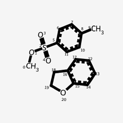 COS(=O)(=O)c1ccc(C)cc1.c1ccc2c(c1)CCO2